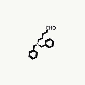 O=CCCCCN(Cc1ccccc1)Cc1ccccc1